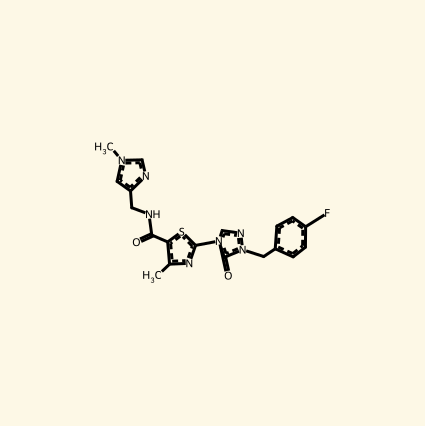 Cc1nc(-n2cnn(Cc3ccc(F)cc3)c2=O)sc1C(=O)NCc1cn(C)cn1